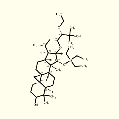 CCO[C@@H]([C@H]1C[C@@H](C)[C@H]2[C@H](O1)[C@H](O[Si](CC)(CC)CC)[C@@]1(C)[C@@H]3CC[C@H]4C(C)(C)C(O)CC[C@@]45C[C@@]35CC[C@]21C)C(C)(C)O